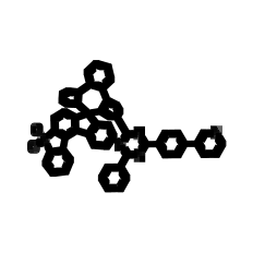 O=S1(=O)c2ccccc2-c2c1ccc1c2-c2ccccc2C12c1ccccc1-c1ccccc1-c1ccc(-c3nc(-c4ccccc4)nc(-c4ccc(-c5cccnc5)cc4)n3)cc12